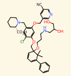 CC1(C)C(c2ccccc2)=CC=CC1(COc1cc(OCc2cncc(C#N)c2)c(CN2CCCC[C@H]2C(=O)O)cc1Cl)OCCCNCC(O)CO